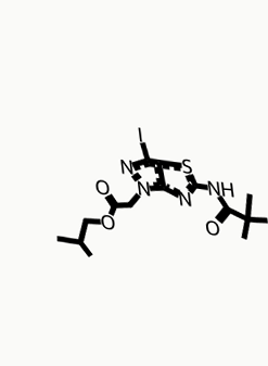 CC(C)COC(=O)Cn1nc(I)c2sc(NC(=O)C(C)(C)C)nc21